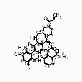 C=CC(=O)N1CCN2c3nc(=O)n(-c4c(C)ccnc4C(C)C)c4nc(-c5c(N)c(Cl)cc(Cl)c5F)c(F)c(c34)NCC2C1